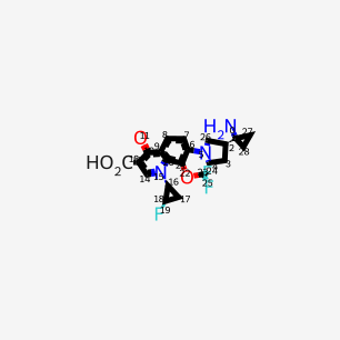 NC1([C@@H]2CCN(c3ccc4c(=O)c(C(=O)O)cn([C@@H]5C[C@H]5F)c4c3OC(F)F)C2)CC1